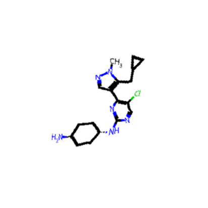 Cn1ncc(-c2nc(N[C@H]3CC[C@H](N)CC3)ncc2Cl)c1CC1CC1